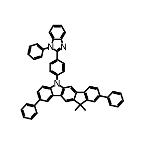 CC1(C)c2cc(-c3ccccc3)ccc2-c2cc3c(cc21)c1cc(-c2ccccc2)ccc1n3-c1ccc(-c2nc3ccccc3n2-c2ccccc2)cc1